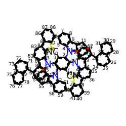 N#Cc1c(-n2c3ccccc3c3ccccc32)c(-n2c3cccc(-c4cccc5ccccc45)c3c3ccc4c5ccccc5sc4c32)c(C#N)c(-n2c3ccccc3c3ccccc32)c1-n1c2cccc(-c3cccc4ccccc34)c2c2ccc3c4ccccc4sc3c21